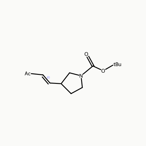 CC(=O)/C=C/C1CCN(C(=O)OC(C)(C)C)C1